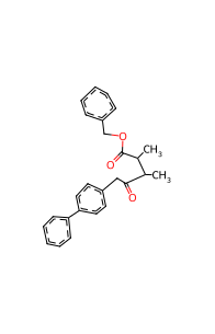 CC(C(=O)Cc1ccc(-c2ccccc2)cc1)C(C)C(=O)OCc1ccccc1